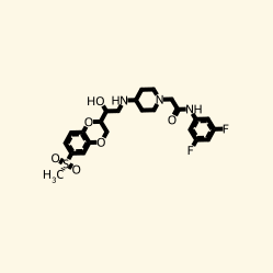 CS(=O)(=O)c1ccc2c(c1)OCC(C(O)CNC1CCN(CC(=O)Nc3cc(F)cc(F)c3)CC1)O2